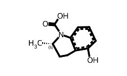 C[C@H]1CCc2c(O)cccc2N1C(=O)O